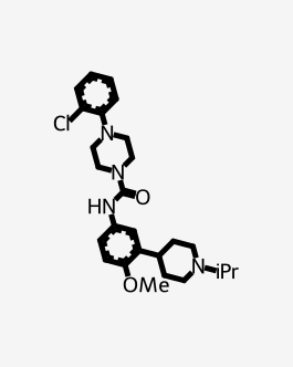 COc1ccc(NC(=O)N2CCN(c3ccccc3Cl)CC2)cc1C1CCN(C(C)C)CC1